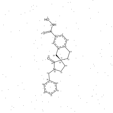 O=C(NO)c1ccc2c(c1)C[C@@]1(CC2)CCN(Cc2ccccc2)C1=O